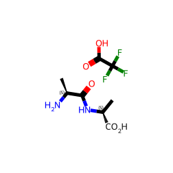 C[C@H](N)C(=O)N[C@@H](C)C(=O)O.O=C(O)C(F)(F)F